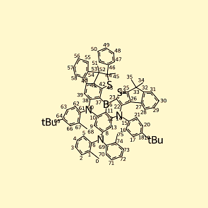 Cc1ccccc1N(c1cc2c3c(c1)N(c1ccc(C(C)(C)C)cc1)c1c(sc4c1-c1ccccc1C4(C)C)B3c1c(ccc3c1SC(C)(c1ccccc1)C3(C)c1ccccc1)N2c1ccc(C(C)(C)C)cc1C)c1ccccc1C